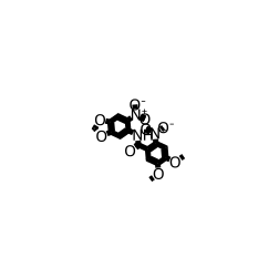 COc1cc(C(=O)Nc2cc3c(cc2[N+](=O)[O-])OCO3)c([N+](=O)[O-])cc1OC